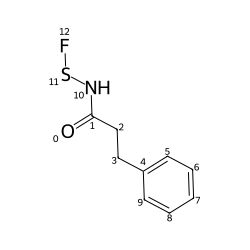 O=C(CCc1ccccc1)NSF